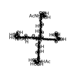 CC(=O)NC1C(OCCCCC(=O)NCCCNC(=O)CCOCC(COCCC(=O)NCCCNC(=O)CCCCOC2OC(CO)C(O)C(O)C2NC(C)=O)(COCCC(=O)NCCCNC(=O)CCCCOC2OC(CO)C(O)C(O)C2NC(C)=O)NC(=O)CCCCCCCCCCC(=O)N2C[C@H](O)C[C@H]2CO[PH](=O)O)OC(CO)C(O)C1O